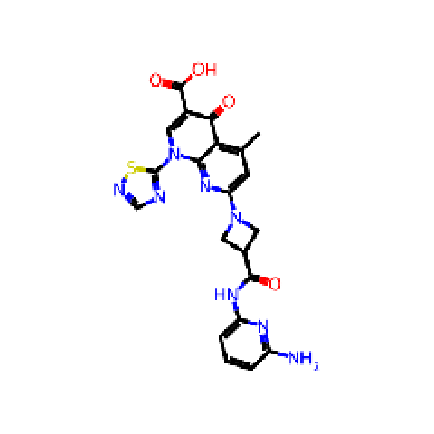 Cc1cc(N2CC(C(=O)Nc3cccc(N)n3)C2)nc2c1c(=O)c(C(=O)O)cn2-c1ncns1